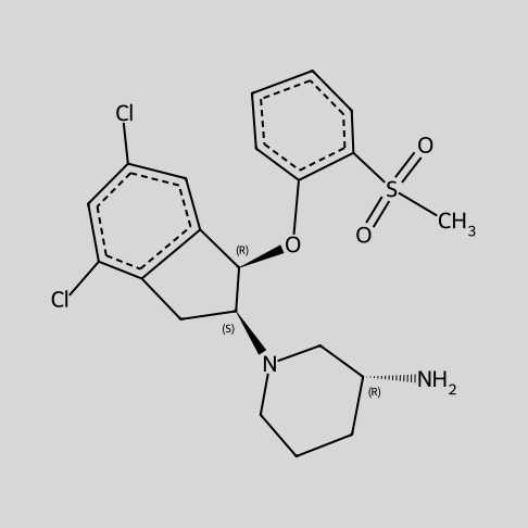 CS(=O)(=O)c1ccccc1O[C@@H]1c2cc(Cl)cc(Cl)c2C[C@@H]1N1CCC[C@@H](N)C1